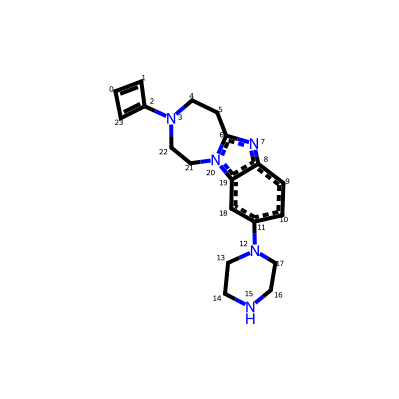 C1=CC(N2CCc3nc4ccc(N5CCNCC5)cc4n3CC2)=C1